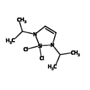 CC(C)N1C=CN(C(C)C)[Si]1(Cl)Cl